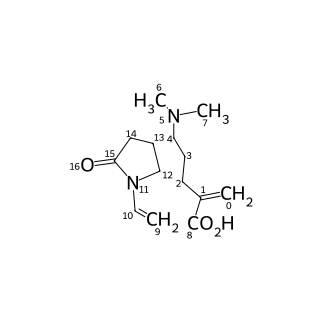 C=C(CCCN(C)C)C(=O)O.C=CN1CCCC1=O